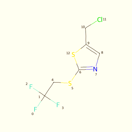 FC(F)(F)CSc1ncc(CCl)s1